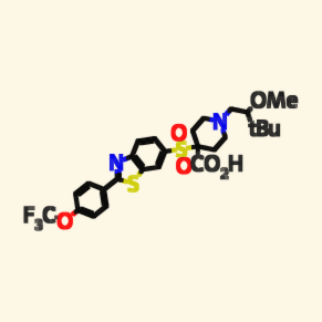 COC(CN1CCC(C(=O)O)(S(=O)(=O)c2ccc3nc(-c4ccc(OC(F)(F)F)cc4)sc3c2)CC1)C(C)(C)C